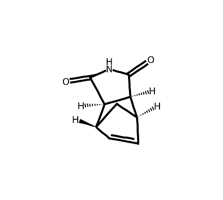 O=C1NC(=O)[C@H]2[C@@H]1[C@H]1C=C[C@H]2C1